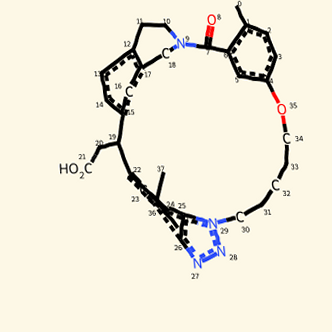 Cc1ccc2cc1C(=O)N1CCc3ccc(cc3C1)C(CC(=O)O)c1ccc3c(nnn3CCCCCO2)c1C